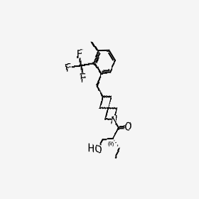 CC[C@H](CO)C(=O)N1CC2(CC(Cc3cccc(C)c3C(F)(F)F)C2)C1